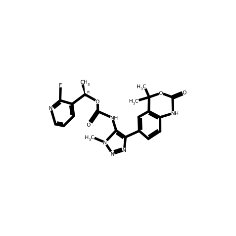 C[C@@H](OC(=O)Nc1c(-c2ccc3c(c2)C(C)(C)OC(=O)N3)nnn1C)c1cccnc1F